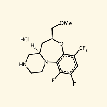 COC[C@@H]1C[C@@H]2CNCCN2c2c(F)c(F)cc(C(F)(F)F)c2O1.Cl